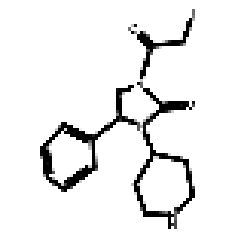 O=C(CI)N1CC(c2ccccc2)N(C2CCNCC2)C1=O